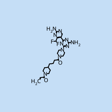 C=CC(=O)N1CCC(CCCC(=O)N2CCN(c3nc(N)nc(-c4cnc(N)nc4C(F)F)n3)CC2)CC1